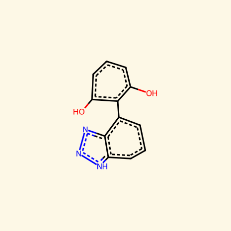 Oc1cccc(O)c1-c1cccc2[nH]nnc12